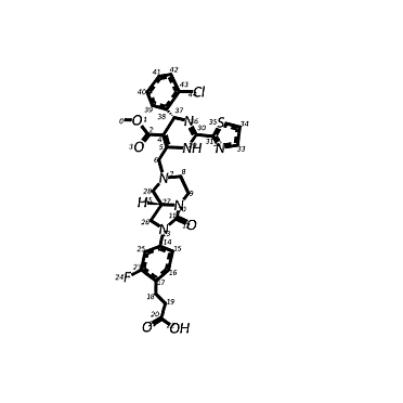 COC(=O)C1=C(CN2CCN3C(=O)N(c4ccc(CCC(=O)O)c(F)c4)C[C@@H]3C2)NC(c2nccs2)=N[C@H]1c1ccccc1Cl